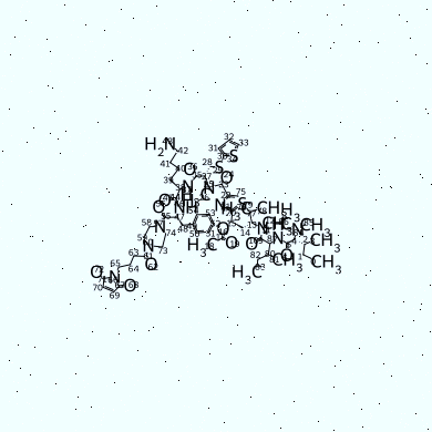 CCC(C)[C@H](C(=O)NC(C(=O)N(C)[C@H](C[C@@H](OC(C)=O)c1nc(C(=O)N(C)[C@@H](CSc2cccs2)C(=O)N[C@H](CCCCN)C(=O)N[C@@H](Cc2ccccc2)C(=O)N2CCN(C(=O)CCCN3C(=O)C=CC3=O)CC2)cs1)C(C)C)[C@@H](C)CC)N(C)C